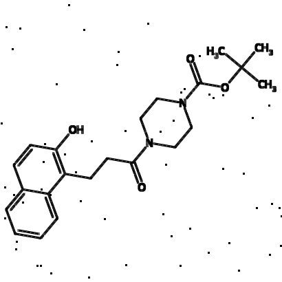 CC(C)(C)OC(=O)N1CCN(C(=O)CCc2c(O)ccc3ccccc23)CC1